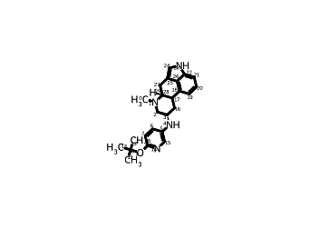 CN1C[C@@H](Nc2ccc(OC(C)(C)C)nc2)CC2c3cccc4[nH]cc(c34)C[C@H]21